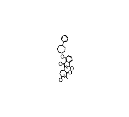 CN1C(=O)CCC(N2C(=O)c3cccc(OC4CCCC(c5ccccc5)CC4)c3C2=O)C1=O